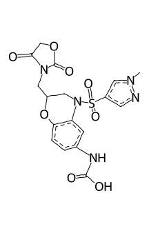 Cn1cc(S(=O)(=O)N2CC(CN3C(=O)COC3=O)Oc3ccc(NC(=O)O)cc32)cn1